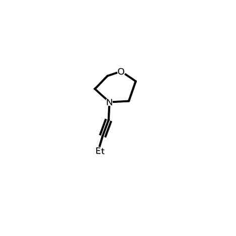 [CH2]CC#CN1CCOCC1